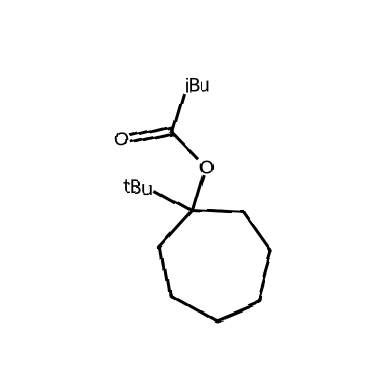 CCC(C)C(=O)OC1(C(C)(C)C)CCCCCC1